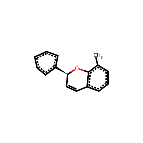 Cc1cccc2c1O[C@H](c1ccccc1)C=C2